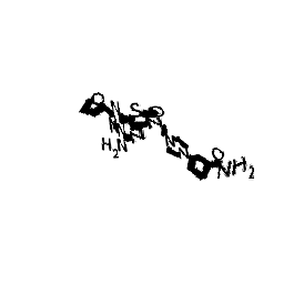 NC(=O)c1cccc(N2CCN(CCn3c(=O)sc4c3nc(N)n3nc(-c5ccco5)nc43)CC2)c1